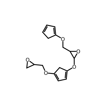 C1=CCC(OCC2OC2OC2=CC=C(OCC3CO3)C2)=C1